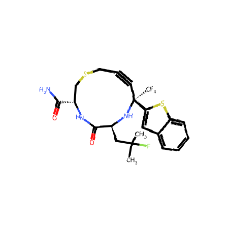 CC(C)(F)C[C@@H]1N[C@@](c2cc3ccccc3s2)(C(F)(F)F)C#CCSC[C@@H](C(N)=O)NC1=O